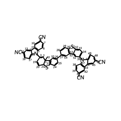 CC12C=C(n3c4ccc(C#N)cc4c4cc(C#N)ccc43)C=CC1Sc1ccc(-c3ccc4sc5ccc(-n6c7ccc(C#N)cc7c7cc(C#N)ccc76)cc5c4c3)cc12